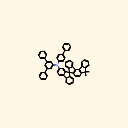 CC1(C)c2ccccc2-c2c1ccc1c2-c2ccccc2C12c1ccccc1-c1ccc(N(c3ccc(-c4ccccc4)cc3)c3cc(-c4ccccc4)cc(-c4ccccc4)c3)cc12